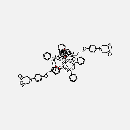 C[Si]1(CCCOc2ccc(N(CC3CO3)CC3CO3)cc2)O[SiH]2O[Si]3(c4ccccc4)O[Si]4(c5ccccc5)O[Si](C)(CCCOc5ccc(N(CC6CO6)CC6CO6)cc5)O[Si]5(c6ccccc6)O[Si](c6ccccc6)(O3)O[Si](c3ccccc3)(O1)O[Si](c1ccccc1)(O[Si](c1ccccc1)(O2)O4)O5